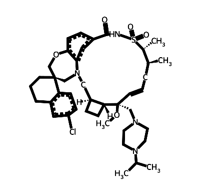 CO[C@]1(CN2CCN(C(C)C)CC2)/C=C/C[C@H](C)[C@@H](C)S(=O)(=O)NC(=O)c2ccc3c(c2)N(C[C@@H]2CC[C@H]21)C[C@@]1(CCCc2cc(Cl)ccc21)CO3